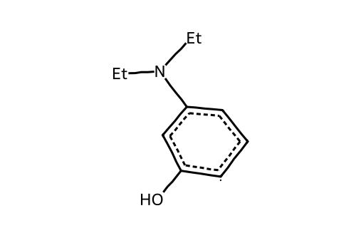 CCN(CC)c1cc[c]c(O)c1